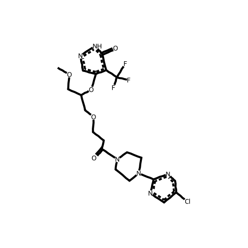 COCC(COCCC(=O)N1CCN(c2ncc(Cl)cn2)CC1)Oc1cn[nH]c(=O)c1C(F)(F)F